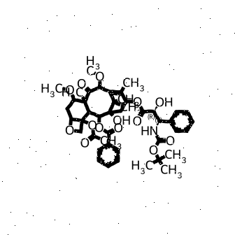 COC1C(=O)C2(C)C(OC)CC3OCC3(OC(C)=O)C2C(OC(=O)c2ccccc2)C2(O)CC(OC(=O)[C@H](O)[C@@H](NC(=O)OC(C)(C)C)c3ccccc3)C(C)=C1C2(C)C